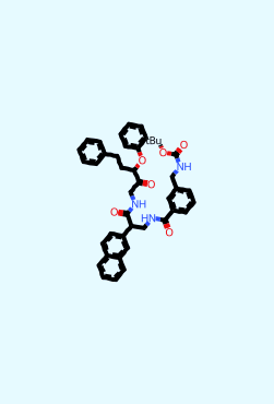 CC(C)(C)OC(=O)NCc1cccc(C(=O)NCC(C(=O)NCC(=O)C(CCc2ccccc2)Oc2ccccc2)c2ccc3ccccc3c2)c1